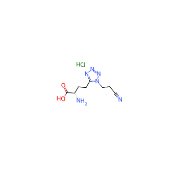 Cl.N#CCCn1nnnc1CC[C@H](N)C(=O)O